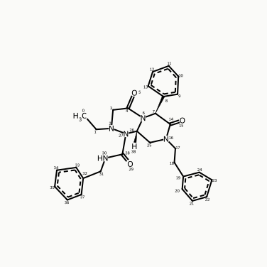 CCN1CC(=O)N2[C@@H](c3ccccc3)C(=O)N(CCc3ccccc3)C[C@@H]2N1C(=O)NCc1ccccc1